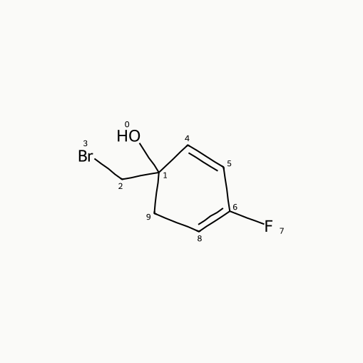 OC1(CBr)C=CC(F)=CC1